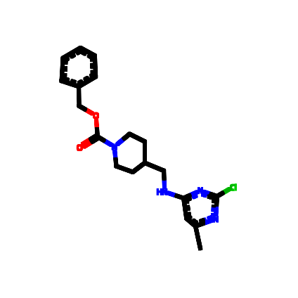 Cc1cc(NCC2CCN(C(=O)OCc3ccccc3)CC2)nc(Cl)n1